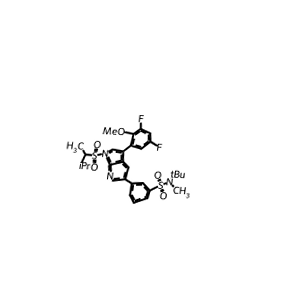 COc1c(F)cc(F)cc1-c1cn(S(=O)(=O)C(C)C(C)C)c2ncc(-c3cccc(S(=O)(=O)N(C)C(C)(C)C)c3)cc12